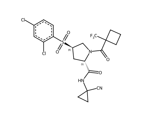 N#CC1(NC(=O)[C@@H]2C[C@@H](S(=O)(=O)c3ccc(Cl)cc3Cl)CN2C(=O)C2(C(F)(F)F)CCC2)CC1